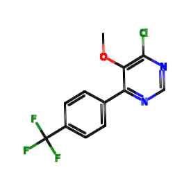 COc1c(Cl)ncnc1-c1ccc(C(F)(F)F)cc1